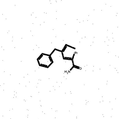 C/C=C(\C=C(\C(N)=O)C(C)C)Cc1ccccc1